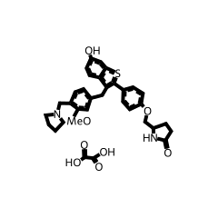 COc1cc(Cc2c(-c3ccc(OCC4CCC(=O)N4)cc3)sc3cc(O)ccc23)ccc1CN1CCCC1.O=C(O)C(=O)O